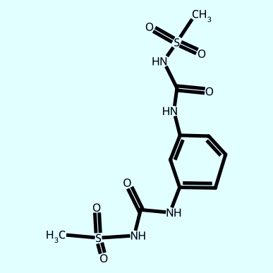 CS(=O)(=O)NC(=O)Nc1cccc(NC(=O)NS(C)(=O)=O)c1